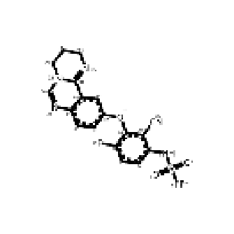 CCCS(=O)(=O)Nc1ccc(F)c(Oc2ccc3c(c2)C2=NCCCN2C=N3)c1C#N